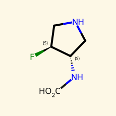 O=C(O)N[C@H]1CNC[C@@H]1F